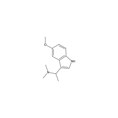 COc1ccc2[nH]cc(C(C)N(C)C)c2c1